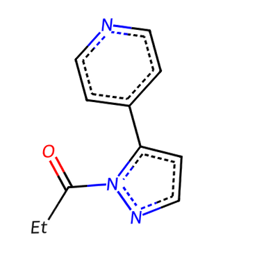 [CH2]CC(=O)n1nccc1-c1ccncc1